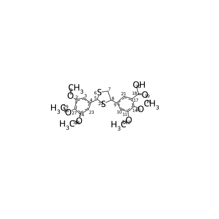 COc1cc(C2SCC(c3cc(OC)c(OC)c(C(=O)O)c3)S2)cc(OC)c1OC